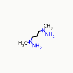 CN(N)CCCN(C)N